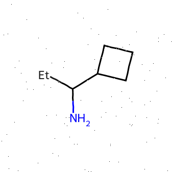 CCC(N)C1CCC1